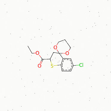 CCOC(=O)C1CC2(OCCCO2)c2cc(Cl)ccc2S1